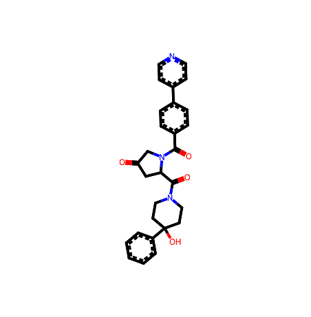 O=C1CC(C(=O)N2CCC(O)(c3ccccc3)CC2)N(C(=O)c2ccc(-c3ccncc3)cc2)C1